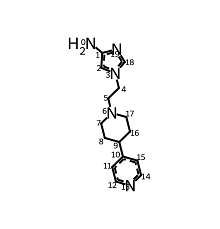 Nc1cn(CCN2CCC(c3ccncc3)CC2)cn1